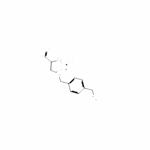 NCc1ccc(CN2CC(C=O)NS2(=O)=O)cc1